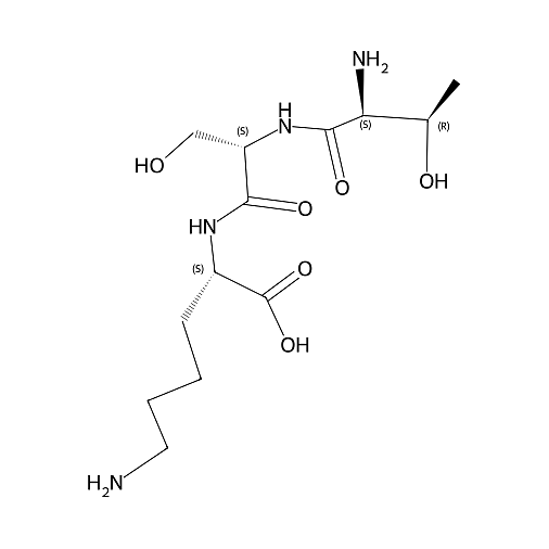 C[C@@H](O)[C@H](N)C(=O)N[C@@H](CO)C(=O)N[C@@H](CCCCN)C(=O)O